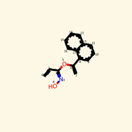 C=CC(=NO)OC(=C)c1cccc2ccccc12